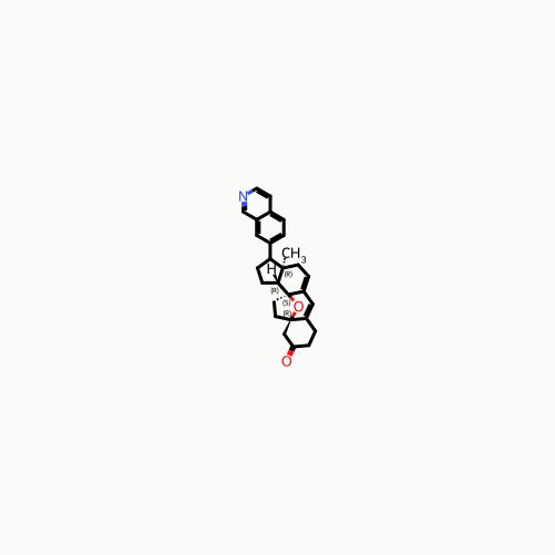 C[C@]12CC=C3C=C4CCC(=O)C[C@]45CC[C@]3(O5)[C@@H]1CCC2c1ccc2ccncc2c1